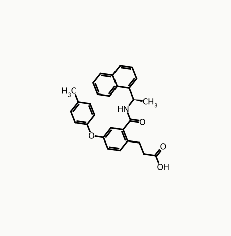 Cc1ccc(Oc2ccc(CCC(=O)O)c(C(=O)N[C@H](C)c3cccc4ccccc34)c2)cc1